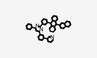 C1=c2c(-c3cccc(-c4nc(-c5ccccc5)cc(-c5cccc(-c6cccnc6)c5)n4)c3)c3ccccc3c(-c3ccc4ccccc4c3)c2=CCC1